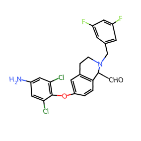 Nc1cc(Cl)c(Oc2ccc3c(c2)CCN(Cc2cc(F)cc(F)c2)C3C=O)c(Cl)c1